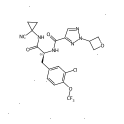 N#CC1(NC(=O)[C@H](Cc2ccc(OC(F)(F)F)c(Cl)c2)NC(=O)c2cnn(C3COC3)n2)CC1